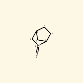 O=[N+]1CC2CCC1C2